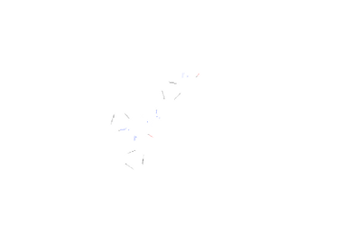 CC(C)(C)OC(=O)Nc1ccc(C2=NN(C(=O)Nc3ccccc3)C(c3ccccn3)C2)cc1